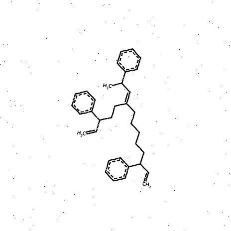 C=CC(CCCCCC(=CC(C)c1ccccc1)CCC(C=C)c1ccccc1)c1ccccc1